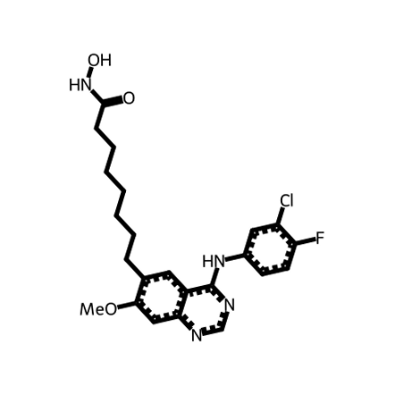 COc1cc2ncnc(Nc3ccc(F)c(Cl)c3)c2cc1CCCCCCCC(=O)NO